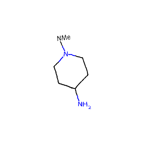 CNN1CCC(N)CC1